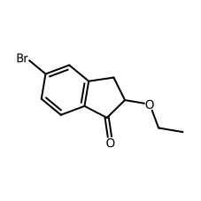 CCOC1Cc2cc(Br)ccc2C1=O